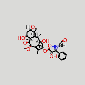 CO[C@H]1C(=O)[C@@]2(C)[C@H]([C@H](C)[C@]3(O)C[C@H](OC(=O)[C@H](O)[C@@H](NBC=O)c4ccccc4)C(C)=C1C3(C)C)[C@]1(C)CO[C@@H]1C[C@@H]2O